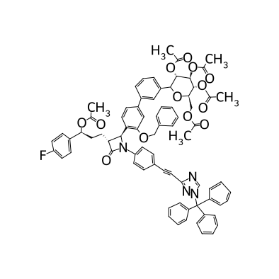 CC(=O)OC[C@H]1OC(c2cccc(-c3ccc([C@@H]4[C@@H](CC[C@H](OC(C)=O)c5ccc(F)cc5)C(=O)N4c4ccc(C#Cc5ncn(C(c6ccccc6)(c6ccccc6)c6ccccc6)n5)cc4)c(OCc4ccccc4)c3)c2)[C@H](OC(C)=O)[C@@H](OC(C)=O)[C@@H]1OC(C)=O